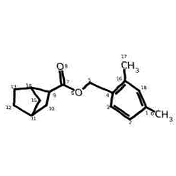 Cc1ccc(COC(=O)C2CC3CCC2C3)c(C)c1